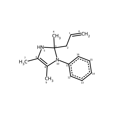 C=CCC1(C)NC(C)=C(C)N1c1ccccc1